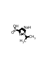 CC(C)n1ccc(S(=O)O)n1.[NaH]